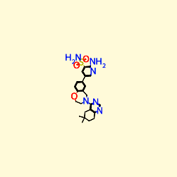 CC1(C)CCc2ncnc(N3CCOc4ccc(-c5cnc(N)c(S(N)(=O)=O)c5)cc4C3)c2C1